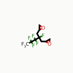 FC(F)(F)C(F)(F)C(F)(F)C(F)(CC1CO1)CC1CO1